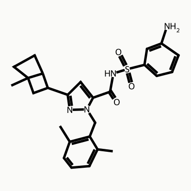 Cc1cccc(C)c1Cn1nc(C2CC3(C)CCC23)cc1C(=O)NS(=O)(=O)c1cccc(N)c1